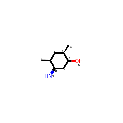 CC1C[C@@H](C)C(O)CC1=N